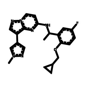 CC(Nc1ccn2ncc(-c3cnn(C)c3)c2n1)c1cc(F)ccc1OCC1CC1